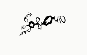 CC(C)Oc1cc(C(=O)Nc2ccc(C=O)cc2)cc(OC(C)C)c1Br